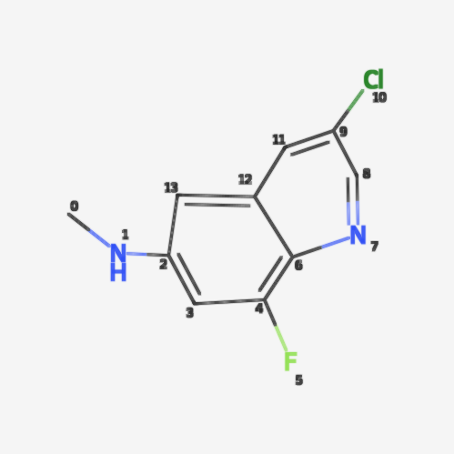 CNc1cc(F)c2ncc(Cl)cc2c1